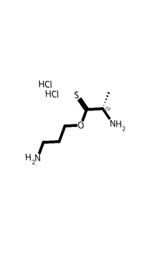 C[C@H](N)C(=S)OCCCN.Cl.Cl